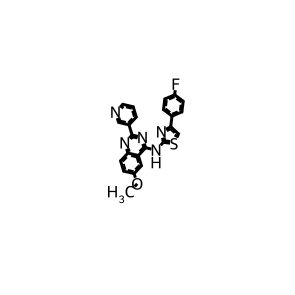 COc1ccc2nc(-c3cccnc3)nc(Nc3nc(-c4ccc(F)cc4)cs3)c2c1